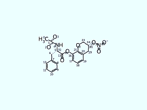 CS(=O)(=O)N[C@@H](Cc1ccccc1)C(=O)Oc1cccc2c1OC[C@H](O[N+](=O)[O-])C2